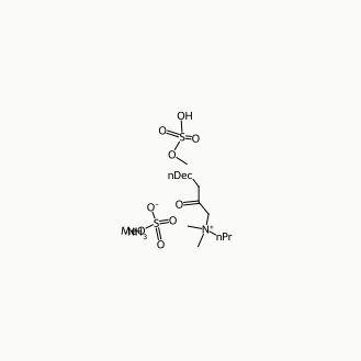 CCCCCCCCCCCC(=O)C[N+](C)(C)CCC.COS(=O)(=O)O.COS(=O)(=O)[O-].N